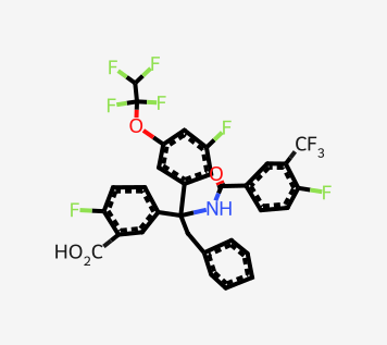 O=C(NC(Cc1ccccc1)(c1cc(F)cc(OC(F)(F)C(F)F)c1)c1ccc(F)c(C(=O)O)c1)c1ccc(F)c(C(F)(F)F)c1